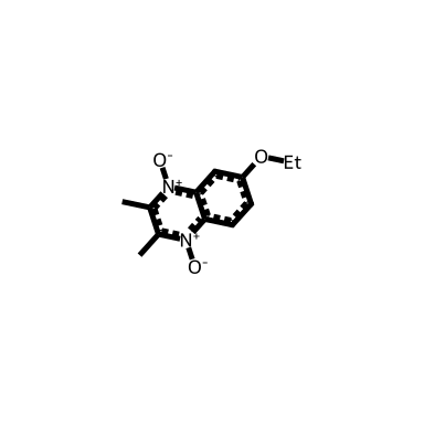 CCOc1ccc2c(c1)[n+]([O-])c(C)c(C)[n+]2[O-]